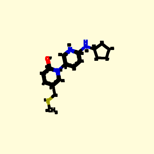 CSCc1ccc(=O)n(-c2ccc(NC3CCCC3)nc2)c1